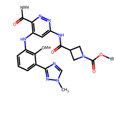 CNC(=O)c1nnc(NC(=O)C2CN(C(=O)OC(C)(C)C)C2)cc1Nc1cccc(-c2ncn(C)n2)c1OC